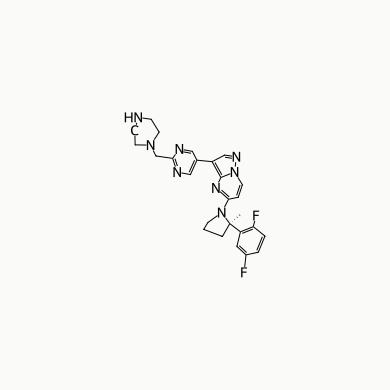 C[C@]1(c2cc(F)ccc2F)CCCN1c1ccn2ncc(-c3cnc(CN4CCNCC4)nc3)c2n1